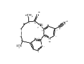 CC1CCCC(N)c2cccc(c2)-c2ncc(C#N)cc2NC1=O